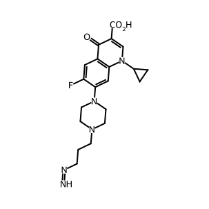 N=NCCCN1CCN(c2cc3c(cc2F)c(=O)c(C(=O)O)cn3C2CC2)CC1